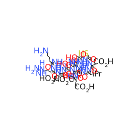 CC(C)C[C@H](NC(=O)[C@H](CC(=O)O)NC(=O)[C@H](CS)NC(=O)[C@H](CO)NC(=O)[C@H](CC(N)=O)NC(=O)[C@H](CO)NC(=O)[C@H](CO)NC(=O)[C@H](CC(=O)O)NC(=O)[C@H](CCCNC(=N)N)NC(=O)[C@@H](N)CCCCN)C(=O)N1CCC[C@H]1C(=O)N[C@@H](CCC(=O)O)C(=O)O